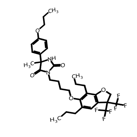 CCCOc1ccc(C2(C)NC(=O)N(CCCCOc3c(CCC)cc4c(c3CCC)OCC4(C(F)(F)F)C(F)(F)F)C2=O)cc1